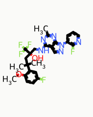 COc1ccc(F)cc1C(C)(C)CC(O)(CNc1nc(C)nc2c1cnn2-c1cccnc1F)C(F)(F)F